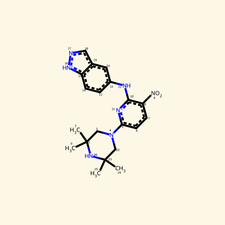 CC1(C)CN(c2ccc([N+](=O)[O-])c(Nc3ccc4[nH]ncc4c3)n2)CC(C)(C)N1